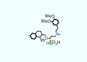 COc1ccc(CCN(C)CC[C@@H](OCC2CCc3cc(F)ccc3[C@@H]2C(C)C)C(=O)O)cc1OC.Cl